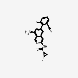 Cc1cccc(C#N)c1-c1cc(N)c2cnc(NC(=O)[C@H]3C[C@@H]3C)cc2c1